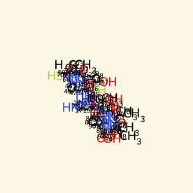 CC[C@H](C)[C@H](NC(=O)[C@H](CC(=O)O)NC(=O)[C@H](CC(C)C)NC(=O)[C@H](Cc1c[nH]cn1)NC(=O)[C@H](CS)NC(=O)[C@H](Cc1ccccc1)NC(=O)[C@H](Cc1ccc(O)cc1)NC(=O)[C@@H](NC(=O)[C@@H](N)CS)C(C)C)C(=O)N[C@H](C(=O)N[C@@H](Cc1c[nH]c2ccccc12)C(=O)O)[C@@H](C)CC